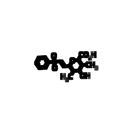 CC1C(C=CS(=O)(=O)c2ccccc2)OC(C(=O)O)C(C)C1O